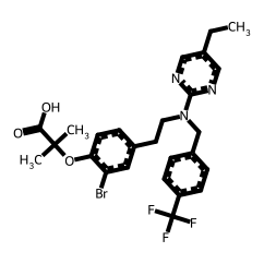 CCc1cnc(N(CCc2ccc(OC(C)(C)C(=O)O)c(Br)c2)Cc2ccc(C(F)(F)F)cc2)nc1